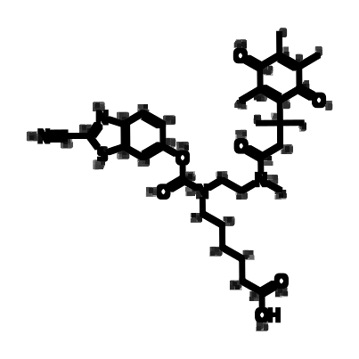 CC1=C(C)C(=O)C(C(C)(C)CC(=O)N(C)CCN(CCCCCC(=O)O)C(=O)Oc2ccc3nc(C#N)sc3c2)=C(C)C1=O